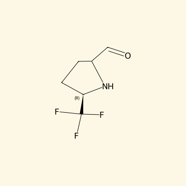 O=CC1CC[C@H](C(F)(F)F)N1